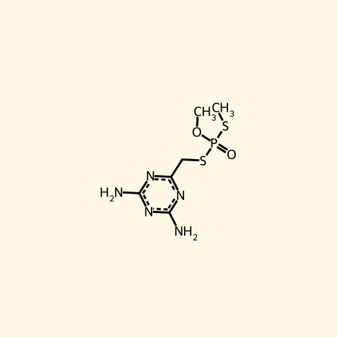 COP(=O)(SC)SCc1nc(N)nc(N)n1